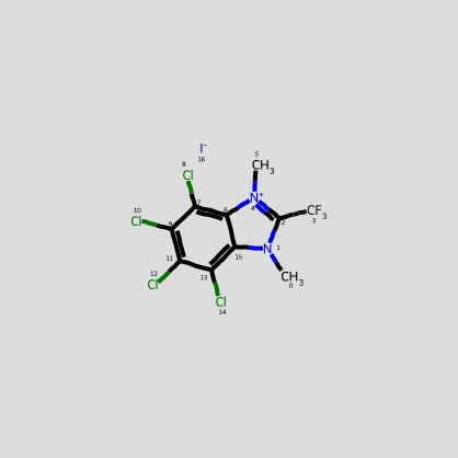 Cn1c(C(F)(F)F)[n+](C)c2c(Cl)c(Cl)c(Cl)c(Cl)c21.[I-]